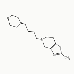 Cc1nc2c(s1)CCN(CCCCN1CCOCC1)C2